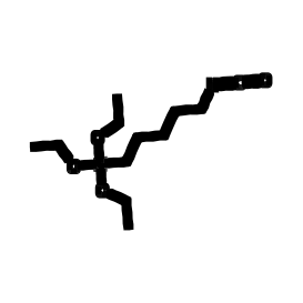 CCO[Si](CCCCCN=C=O)(OCC)OCC